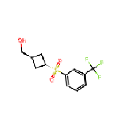 O=S(=O)(c1cccc(C(F)(F)F)c1)[C@H]1C[C@H](CO)C1